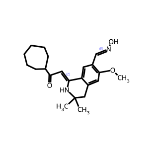 COc1cc2c(cc1/C=N/O)/C(=C/C(=O)C1CCCCCC1)NC(C)(C)C2